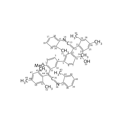 COc1ccc(-c2ccc(CO)c(C(=C=Nc3ccccc3C)c3c(C)cc(C)cc3C)c2)cc1C(=C=Nc1ccccc1C)c1c(C)cc(C)cc1C